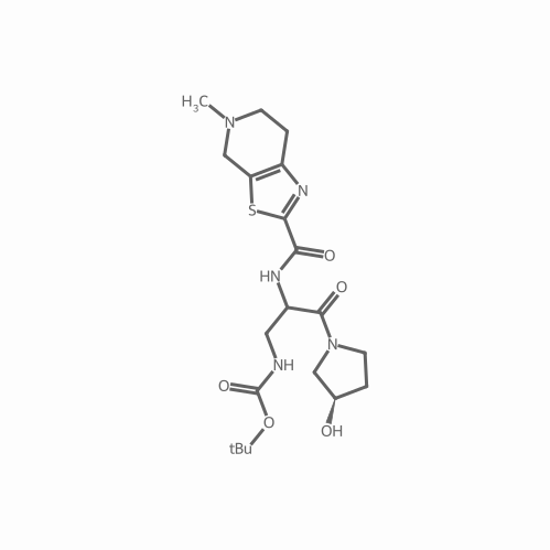 CN1CCc2nc(C(=O)NC(CNC(=O)OC(C)(C)C)C(=O)N3CC[C@@H](O)C3)sc2C1